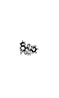 CN1Sc2ccsc2C(C(=O)Nc2ccccn2)C1=O